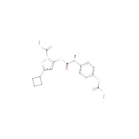 C[C@H](C(=O)Nc1cc(C2CCC2)nn1C(=O)OC(C)(C)C)c1ccc(NC(=O)OC(C)(C)C)cc1